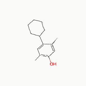 Cc1cc(C2CCCCC2)c(C)cc1O